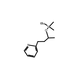 CC(CCc1ccccn1)O[Si](C)(C)C(C)(C)C